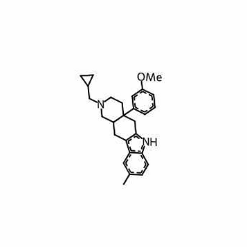 COc1cccc(C23CCN(CC4CC4)CC2Cc2c([nH]c4ccc(C)cc24)C3)c1